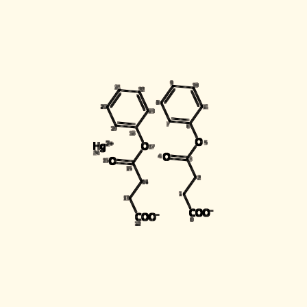 O=C([O-])CCC(=O)Oc1ccccc1.O=C([O-])CCC(=O)Oc1ccccc1.[Hg+2]